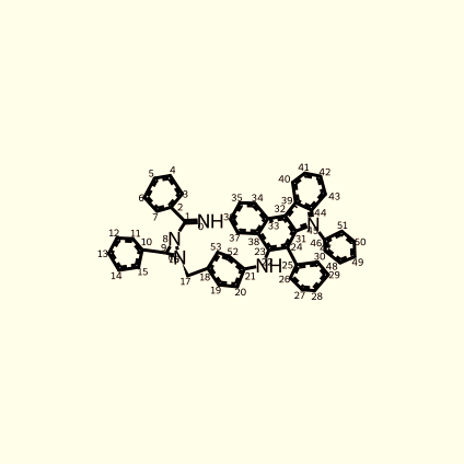 N=C(c1ccccc1)N1C(c2ccccc2)[N@]1Cc1ccc(Nc2c(-c3ccccc3)c3c(c4ccccc24)c2ccccc2n3-c2ccccc2)cc1